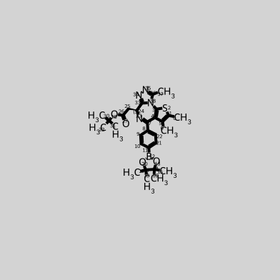 Cc1sc2c(c1C)C(c1ccc(B3OC(C)(C)C(C)(C)O3)cc1)=N[C@@H](CC(=O)OC(C)(C)C)c1nnc(C)n1-2